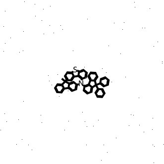 CC1(C)c2ccccc2-c2ccc(N(c3cccc4c3-c3ccccc3C4(c3ccccc3)c3ccccc3)c3cccc4sc5ccccc5c34)cc21